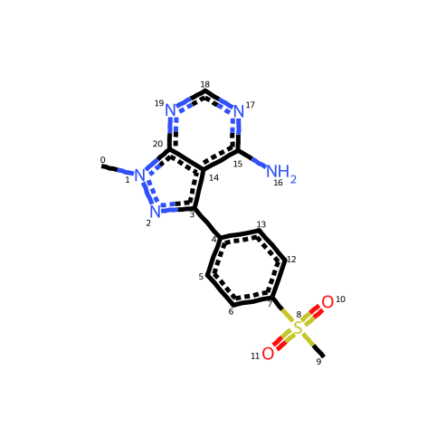 Cn1nc(-c2ccc(S(C)(=O)=O)cc2)c2c(N)ncnc21